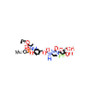 COCP(=O)(NC(C)C(=O)OC(C)C)Oc1ccc(COC(=O)Nc2ccn([C@@H]3O[C@H](CO)[C@@H](O)C3(F)F)c(=O)n2)cc1